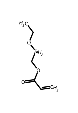 C=CC(=O)OC[SiH2]OCC